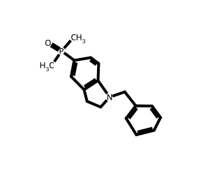 CP(C)(=O)c1ccc2c(c1)CCN2Cc1ccccc1